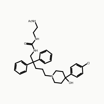 CC(=O)NCCNC(=O)NCC(CCCN1CCC(O)(c2ccc(Cl)cc2)CC1)(c1ccccc1)c1ccccc1